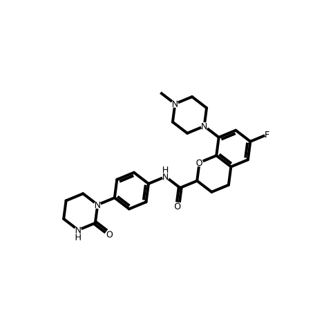 CN1CCN(c2cc(F)cc3c2OC(C(=O)Nc2ccc(N4CCCNC4=O)cc2)CC3)CC1